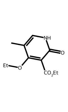 CCOC(=O)c1c(OCC)c(C)c[nH]c1=O